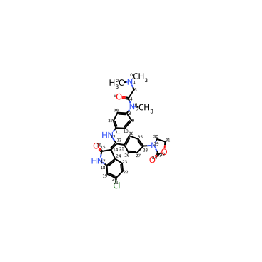 CN(C)CC(=O)N(C)c1ccc(N/C(=C2\C(=O)Nc3cc(Cl)ccc32)c2ccc(N3CCOC3=O)cc2)cc1